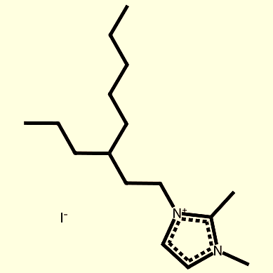 CCCCCC(CCC)CC[n+]1ccn(C)c1C.[I-]